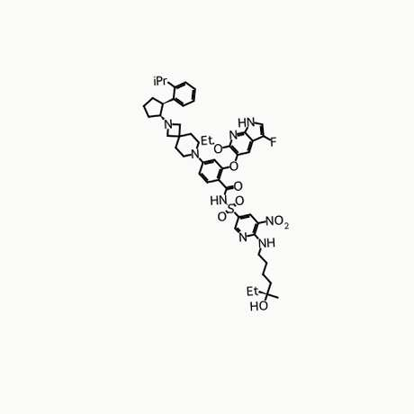 CCOc1nc2[nH]cc(F)c2cc1Oc1cc(N2CCC3(CC2)CN([C@H]2CCC[C@H]2c2ccccc2C(C)C)C3)ccc1C(=O)NS(=O)(=O)c1cnc(NCCCC[C@](C)(O)CC)c([N+](=O)[O-])c1